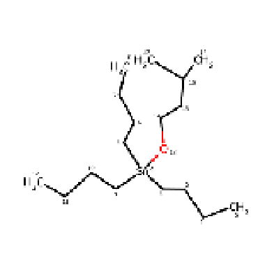 CCC[CH2][Sn]([CH2]CCC)([CH2]CCC)[O]CCC(C)C